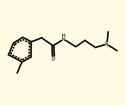 Cc1cccc(CC(=O)NCCCN(C)C)c1